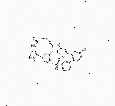 C[C@@H]1CCC[C@H](n2cnc(-c3cc(Cl)ccc3-c3cccc(S(C)(=O)=O)c3)cc2=O)c2cc(ccn2)-c2c(cnn2C)NC1=O